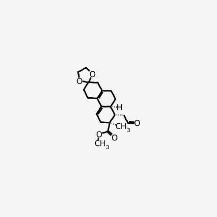 COC(=O)[C@@]1(C)CC=C2C3=C(CC[C@H]2[C@@H]1CC=O)CC1(CC3)OCCO1